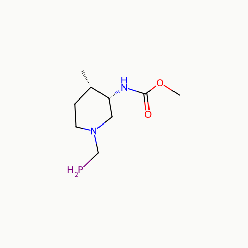 COC(=O)N[C@@H]1CN(CP)CC[C@@H]1C